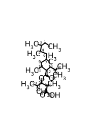 CCC(C)C(C)CC(C)CC(C)C(CC(C)C)C(=O)OC(C(C)C)C(C)C(=O)O